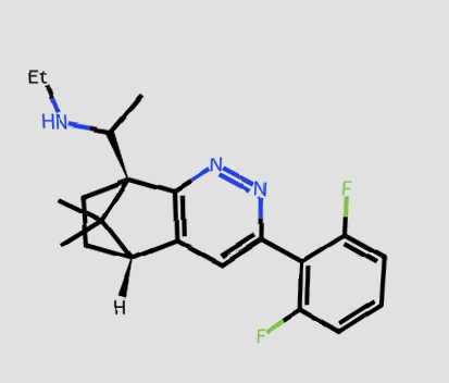 CCNC(C)[C@@]12CC[C@@H](c3cc(-c4c(F)cccc4F)nnc31)C2(C)C